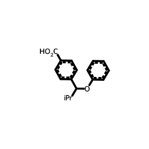 CC(C)C(Oc1ccccc1)c1ccc(C(=O)O)cc1